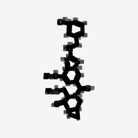 COCC1C(=O)N2CCC2CN1C(=O)c1cc(OC)c2nc(NCc3cccc(Cl)c3)nn2c1